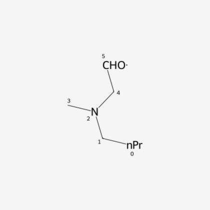 CCCCN(C)C[C]=O